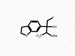 CNC(C(Cl)(Cl)Cl)C(O)(CF)c1ccc2c(c1)SCC2